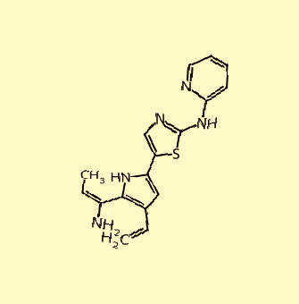 C=Cc1cc(-c2cnc(Nc3ccccn3)s2)[nH]c1/C(N)=C\C